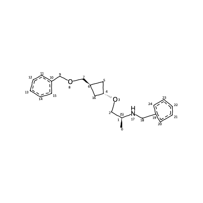 C[C@@H](CO[C@H]1C[C@H](COCc2ccccc2)C1)NCc1ccccc1